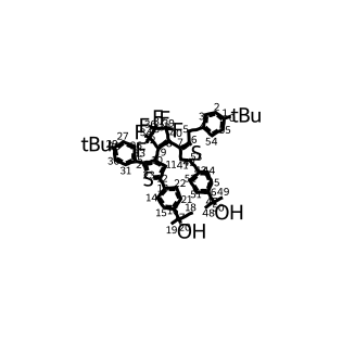 CC(C)(C)c1ccc(CC2=C(C3=C(c4cc(-c5ccc(C(C)(C)O)cc5)sc4-c4ccc(C(C)(C)C)cc4)C(F)(F)C(F)(F)C3(F)F)CC(c3ccc(C(C)(C)O)cc3)S2)cc1